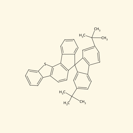 CC(C)(C)c1ccc2c(c1)C1(c3cc(C(C)(C)C)ccc3-2)c2ccccc2-c2c1ccc1c2sc2ccccc21